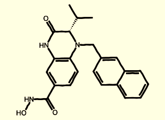 CC(C)[C@H]1C(=O)Nc2cc(C(=O)NO)ccc2N1Cc1ccc2ccccc2c1